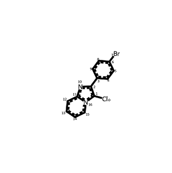 Clc1c(-c2ccc(Br)cc2)nc2ccccn12